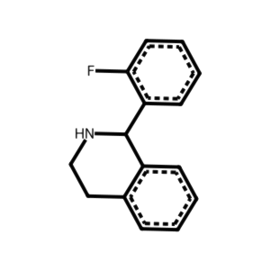 Fc1ccccc1C1NCCc2ccccc21